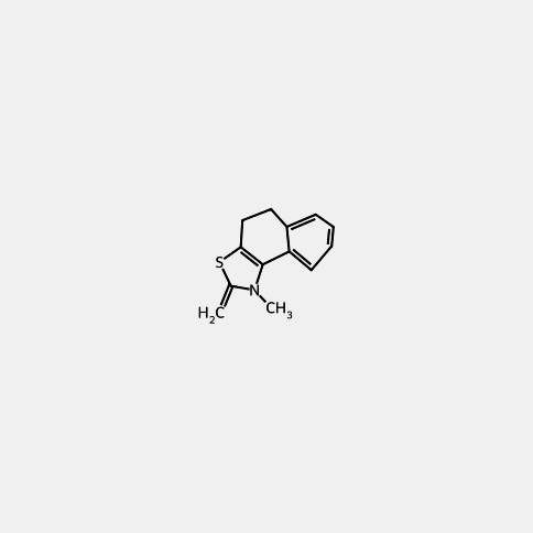 C=C1SC2=C(c3ccccc3CC2)N1C